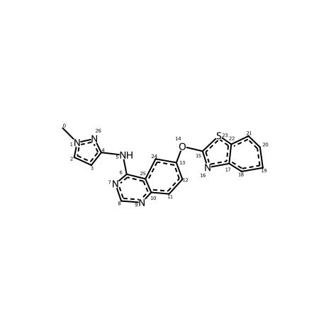 Cn1ccc(Nc2ncnc3ccc(Oc4nc5ccccc5s4)cc23)n1